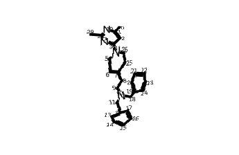 Cc1cc(N2CCC(CCN(Cc3ccccc3)Cc3ccccc3)CC2)nc(C)n1